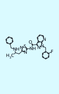 CC(Cc1nsc(NC(=O)c2nn(Cc3ccccc3F)c3ncccc23)n1)NCc1ccccc1